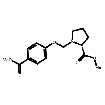 COC(=O)c1ccc(OCN2CCC[C@H]2C(=O)OC(C)(C)C)cc1